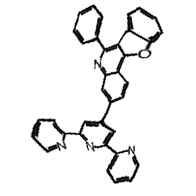 c1ccc(-c2nc3cc(-c4cc(-c5ccccn5)nc(-c5ccccn5)c4)ccc3c3oc4ccccc4c23)cc1